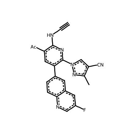 C#CNc1nc(-n2cc(C#N)c(C)n2)c(-c2ccc3ncc(F)cc3c2)cc1C(C)=O